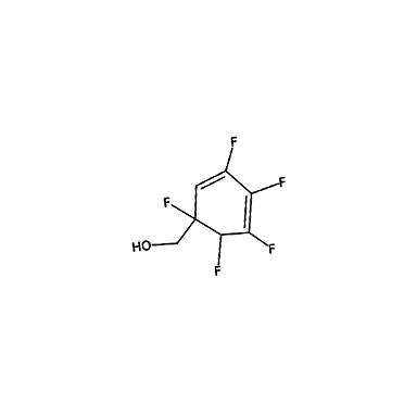 OCC1(F)C=C(F)C(F)=C(F)C1F